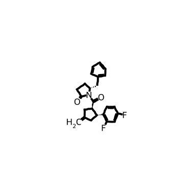 C=C1C[C@@H](C(=O)N2C(=O)CC[C@@H]2Cc2ccccc2)[C@H](c2ccc(F)cc2F)C1